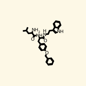 CC(C)CC(N)C(=O)NC(Cc1ccc(OCc2ccccc2)cc1)C(=O)NCCc1c[nH]c2ccccc12